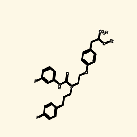 CCOC(Cc1ccc(OCCN(CCCc2ccc(F)cc2)C(=O)Nc2cccc(F)c2)cc1)C(=O)O